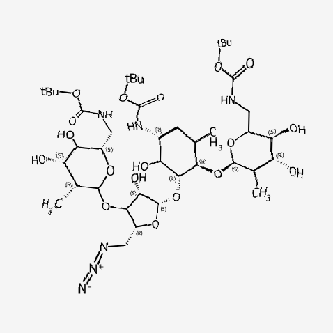 CC1[C@@H](O[C@@H]2C(C)C[C@@H](NC(=O)OC(C)(C)C)C(O)[C@H]2O[C@@H]2O[C@H](CN=[N+]=[N-])C(OC3O[C@@H](CNC(=O)OC(C)(C)C)C(O)[C@@H](O)[C@H]3C)[C@@H]2O)OC(CNC(=O)OC(C)(C)C)[C@@H](O)[C@@H]1O